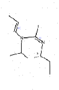 C/C=C/N(/C(C)=N\[C@@H](C)CC)C(C)C